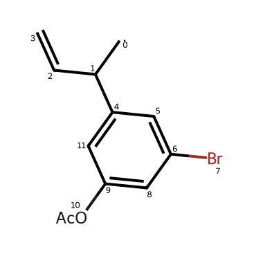 [CH2]C(C=C)c1cc(Br)cc(OC(C)=O)c1